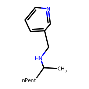 CCCCCC(C)NCc1cccnc1